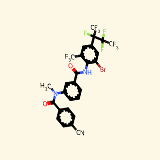 CN(C(=O)c1ccc(C#N)cc1)c1cccc(C(=O)Nc2c(Br)cc(C(F)(C(F)(F)F)C(F)(F)C(F)(F)F)cc2C(F)(F)F)c1